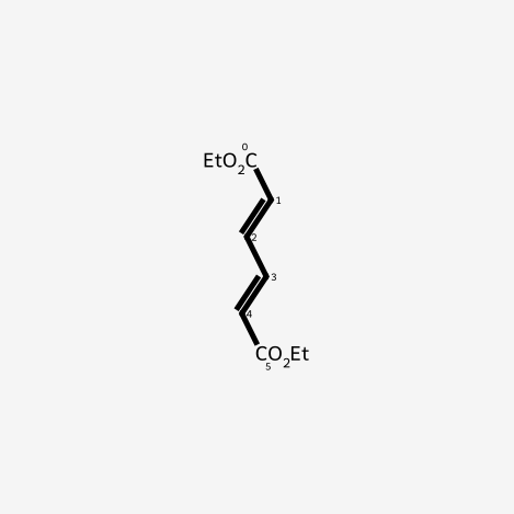 CCOC(=O)/C=C/C=C/C(=O)OCC